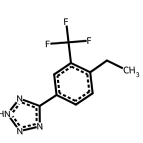 CCc1ccc(-c2nn[nH]n2)cc1C(F)(F)F